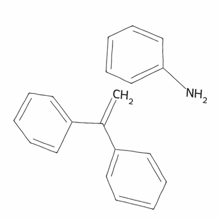 C=C(c1ccccc1)c1ccccc1.Nc1ccccc1